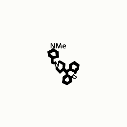 CNc1ccc(CN2CCC(=C3c4ccccc4Sc4ccccc43)CC2)cc1